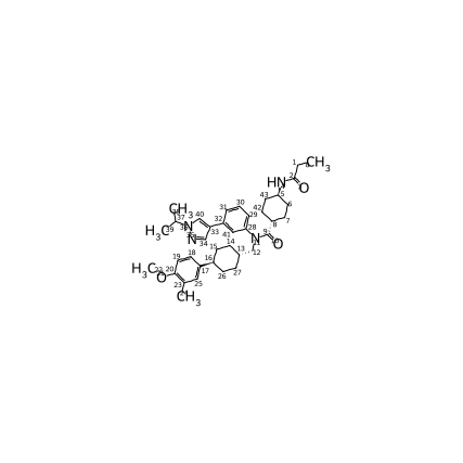 CCC(=O)N[C@H]1CC[C@H](C(=O)N(C[C@H]2CC[C@H](c3ccc(OC)c(C)c3)CC2)c2cccc(-c3cnn(C(C)C)c3)c2)CC1